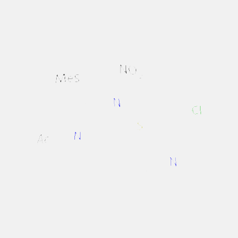 CSC(=N[N+](=O)[O-])N(Cc1cnc(Cl)s1)C(C)=O